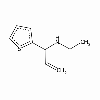 C=CC(NCC)c1cccs1